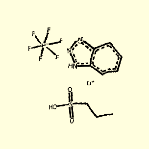 CCCS(=O)(=O)O.F[P-](F)(F)(F)(F)F.[Li+].c1ccc2[nH]nnc2c1